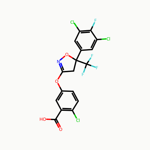 O=C(O)c1cc(OC2=NOC(c3cc(Cl)c(F)c(Cl)c3)(C(F)(F)F)C2)ccc1Cl